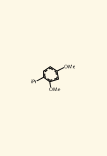 [CH2]C(C)c1ccc(OC)cc1OC